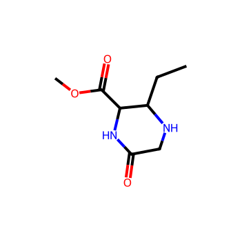 CCC1NCC(=O)NC1C(=O)OC